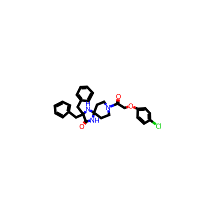 O=C(COc1ccc(Cl)cc1)N1CCC2(CC1)NC(=O)C(Cc1ccccc1)(Cc1ccccc1)N2